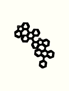 c1ccc(-c2c3ccccc3c(-c3cccc4oc5c(-c6c7ccccc7c(-c7cccc8oc9ccccc9c78)c7ccccc67)cccc5c34)c3ccccc23)cc1